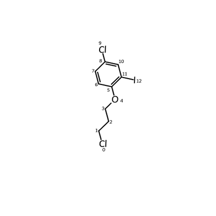 ClCCCOc1ccc(Cl)cc1I